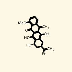 C=C1c2cccc(OC)c2C(=O)c2c(O)c3c(c(O)c21)CC(C(=C)CC)C[C@@H]3O